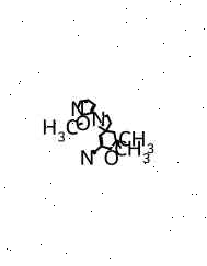 COc1ncccc1N1CCC2(C=C(C#N)C(=O)C(C)(C)C2)C1